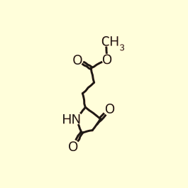 COC(=O)CCC1NC(=O)CC1=O